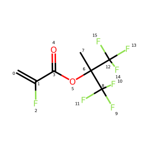 C=C(F)C(=O)OC(C)(C(F)(F)F)C(F)(F)F